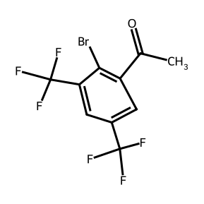 CC(=O)c1cc(C(F)(F)F)cc(C(F)(F)F)c1Br